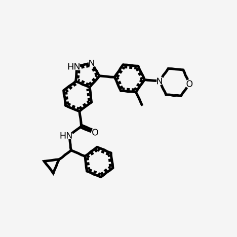 Cc1cc(-c2n[nH]c3ccc(C(=O)NC(c4ccccc4)C4CC4)cc23)ccc1N1CCOCC1